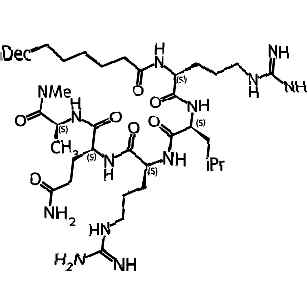 CCCCCCCCCCCCCCCC(=O)N[C@@H](CCCNC(=N)N)C(=O)N[C@@H](CC(C)C)C(=O)N[C@@H](CCCNC(=N)N)C(=O)N[C@@H](CCC(N)=O)C(=O)N[C@@H](C)C(=O)NC